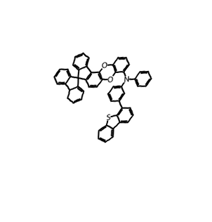 C1=CCC2C(=C1)C1(c3ccccc3-c3c1ccc1c3Oc3cccc(N(c4ccccc4)c4cccc(-c5cccc6c5sc5ccccc56)c4)c3O1)c1ccccc12